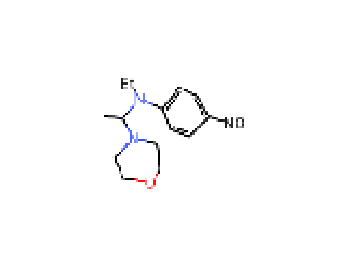 CCN(c1ccc(N=O)cc1)C(C)N1CCOCC1